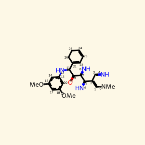 CN/C=C(\C=N)C(=N)C(=N)C(=O)C(Nc1cc(OC)cc(OC)c1)C1=CC=CCC1